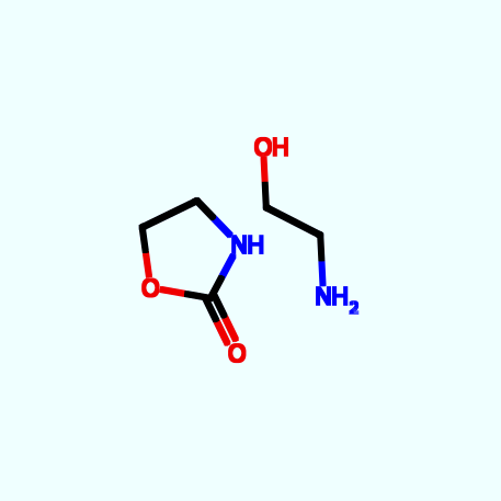 NCCO.O=C1NCCO1